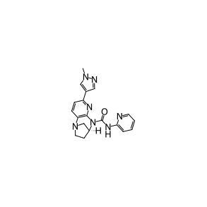 Cn1cc(-c2ccc3c(n2)N(C(=O)Nc2ccccn2)[C@H]2CCN3C2)cn1